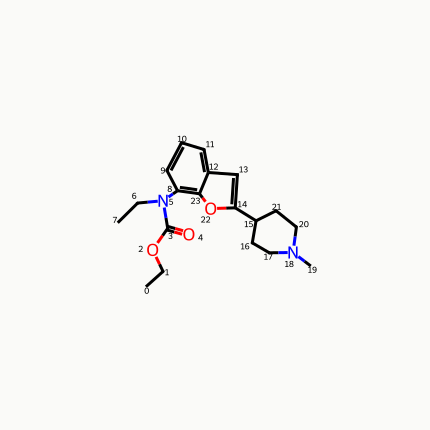 CCOC(=O)N(CC)c1cccc2cc(C3CCN(C)CC3)oc12